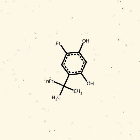 CCCC(C)(C)c1cc(CC)c(O)cc1O